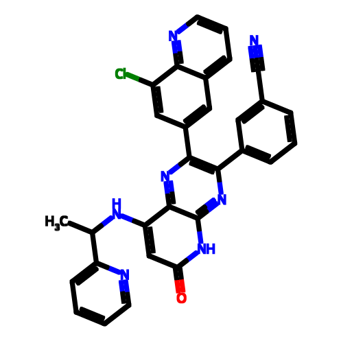 CC(Nc1cc(=O)[nH]c2nc(-c3cccc(C#N)c3)c(-c3cc(Cl)c4ncccc4c3)nc12)c1ccccn1